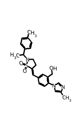 Cc1ccc(C(C)N2CC/C(=C\c3ccc(-n4cnc(C)c4)c(CO)c3)S2(=O)=O)cc1